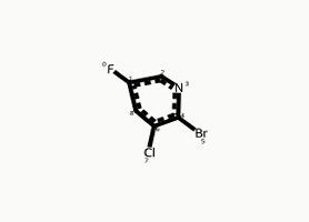 Fc1cnc(Br)c(Cl)c1